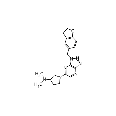 CN(C)C1CCN(c2cnc3nnn(Cc4ccc5c(c4)CCO5)c3n2)C1